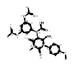 COc1ccc(-n2c(N)c(N(C(=O)O)c3cc(OC(C)=O)cc(OC(C)=O)c3)c(=O)n(C)c2=O)cc1